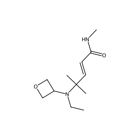 CCN(C1COC1)C(C)(C)C=CC(=O)NC